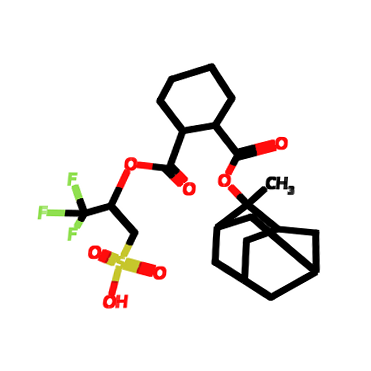 CC1(OC(=O)C2CCCCC2C(=O)OC(CS(=O)(=O)O)C(F)(F)F)C2CC3CC(C2)CC1C3